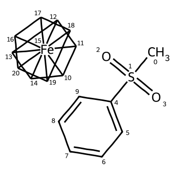 CS(=O)(=O)c1ccccc1.[CH]12[CH]3[CH]4[CH]5[CH]1[Fe]23451678[CH]2[CH]1[CH]6[CH]7[CH]28